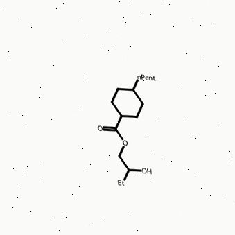 CCCCCC1CCC(C(=O)OCC(O)CC)CC1